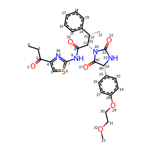 CCC(=O)c1csc(NC(=O)[C@H]([C@@H](C)c2ccccc2)N2C(=O)N[C@H](c3ccc(OCCOC)cc3)C2=O)n1